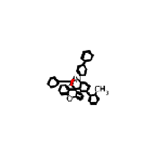 Cc1ccccc1-c1ccc2c(c1)C1(c3ccccc3Oc3ccccc31)c1cc(-c3ccccc3)ccc1N2c1ccc(-c2ccccc2)cc1